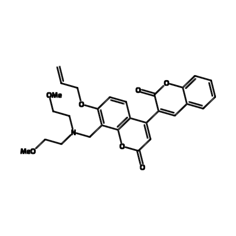 C=CCOc1ccc2c(-c3cc4ccccc4oc3=O)cc(=O)oc2c1CN(CCOC)CCOC